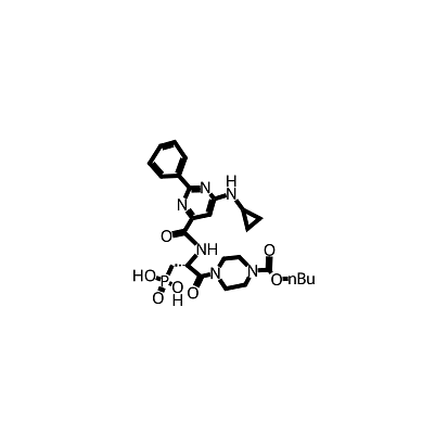 CCCCOC(=O)N1CCN(C(=O)[C@H](CP(=O)(O)O)NC(=O)c2cc(NC3CC3)nc(-c3ccccc3)n2)CC1